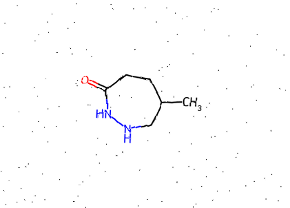 CC1CCC(=O)NNC1